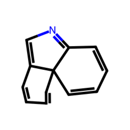 C1=CC2=CN=C3C=CC=CC23C=C1